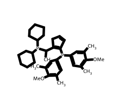 COc1c(C)cc(P(C2=C(C(C)P(C3CCCCC3)C3CCCCC3)CC=C2)c2cc(C)c(OC)c(C)c2)cc1C